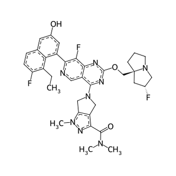 CCc1c(F)ccc2cc(O)cc(-c3ncc4c(N5Cc6c(C(=O)N(C)C)nn(C)c6C5)nc(OC[C@@]56CCCN5C[C@H](F)C6)nc4c3F)c12